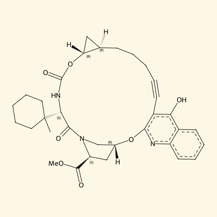 COC(=O)[C@@H]1C[C@@H]2CN1C(=O)[C@H](C1(C)CCCCC1)NC(=O)O[C@@H]1C[C@H]1CCCC#Cc1c(nc3ccccc3c1O)O2